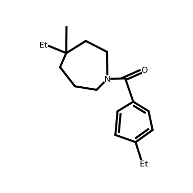 CCc1ccc(C(=O)N2CCCC(C)(CC)CC2)cc1